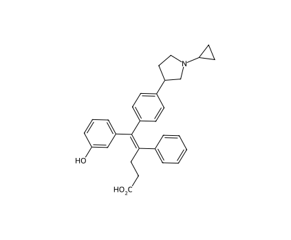 O=C(O)CC/C(=C(/c1ccc(C2CCN(C3CC3)C2)cc1)c1cccc(O)c1)c1ccccc1